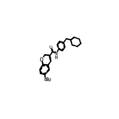 CC(C)(C)c1ccc2c(c1)C=C(C(=O)Nc1ccc(C[C]3CCCCC3)cc1)CO2